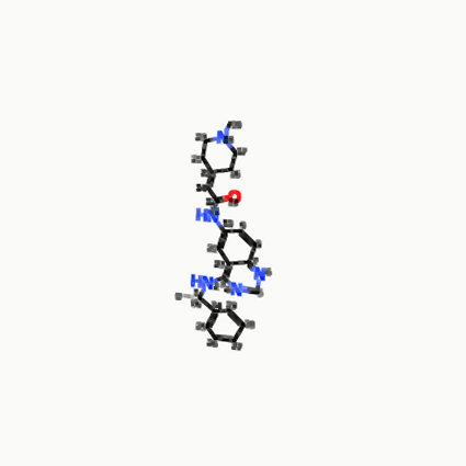 C[C@H](Nc1ncnc2ccc(NC(=O)C=C3CCN(C)CC3)cc12)c1ccccc1